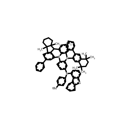 Cc1cc2c3c(c1)N(c1cc4c(cc1-c1ccccc1)C(C)(C)CCC4(C)C)c1cc(N(c4ccc(C(C)(C)C)cc4)c4cccc5sc6ccccc6c45)ccc1B3c1cc(-c3ccccc3)cc3c1C2C1(C)CCCCC31C